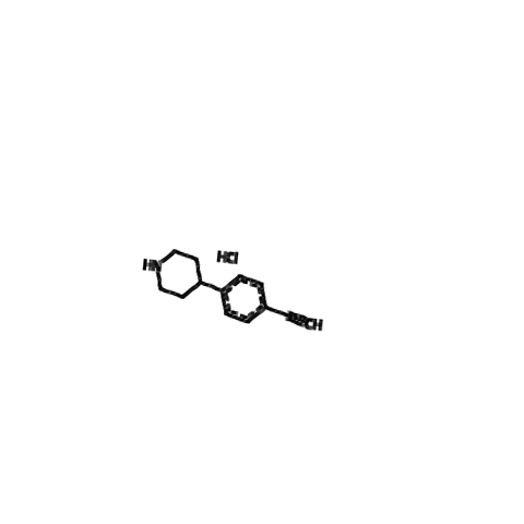 C#Cc1ccc(C2CCNCC2)cc1.Cl